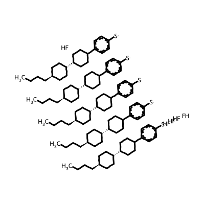 CCCC[C@H]1CC[C@H](C2CCC(c3ccc([S])cc3)CC2)CC1.CCCC[C@H]1CC[C@H](C2CCC(c3ccc([S])cc3)CC2)CC1.CCCC[C@H]1CC[C@H](C2CCC(c3ccc([S])cc3)CC2)CC1.CCCC[C@H]1CC[C@H](C2CCC(c3ccc([S])cc3)CC2)CC1.CCCC[C@H]1CC[C@H](C2CCC(c3ccc([S])cc3)CC2)CC1.F.F.F.F.F